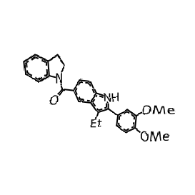 CCc1c(-c2ccc(OC)c(OC)c2)[nH]c2ccc(C(=O)N3CCc4ccccc43)cc12